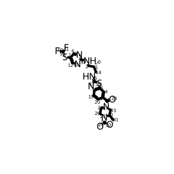 C[C@@H](CNc1ncc(SC(F)F)cn1)CNc1nc2ccc(C(=O)N3CCN4C(=O)OCC4C3)cc2s1